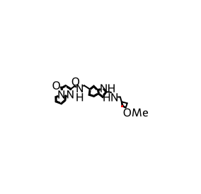 COC12CC(CNCc3cc4ccc(CNC(=O)c5cc(=O)n6ccccc6n5)cc4[nH]3)(C1)C2